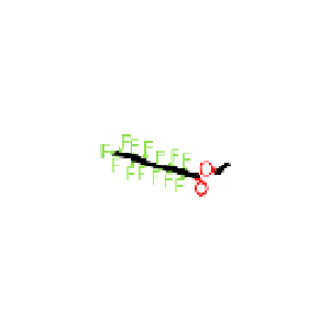 CCOC(=O)C(F)(F)C(F)(F)C(F)(F)C(F)(F)C(F)(F)C(F)(F)F